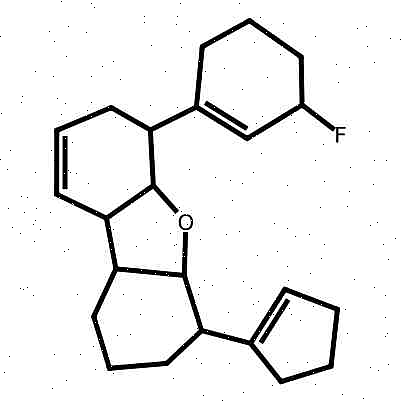 FC1C=C(C2CC=CC3C4CCCC(C5=CCCC5)C4OC23)CCC1